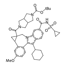 COc1ccc2c(c1)C1CC1(C(=O)N1CC3CN(C(=O)OC(C)(C)C)CC3C1)Cn1c-2c(C2CCCCC2)c2ccc(C(=O)NS(=O)(=O)C3CC3)cc21